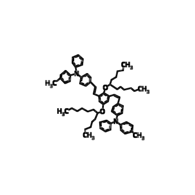 CCCCCCC(CCCCC)Oc1cc(C=Cc2ccc(N(c3ccccc3)c3ccc(C)cc3)cc2)c(OC(CCCCC)CCCCCC)c(C=Cc2ccc(N(c3ccccc3)c3ccc(C)cc3)cc2)c1